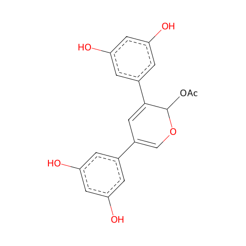 CC(=O)OC1OC=C(c2cc(O)cc(O)c2)C=C1c1cc(O)cc(O)c1